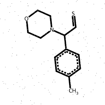 Cc1ccc(C(C=S)N2CCOCC2)cc1